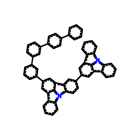 c1ccc(-c2ccc(-c3cccc(-c4cccc(-c5cc6c7ccccc7n7c8ccc(-c9cc%10c%11ccccc%11n%11c%12ccccc%12c(c9)c%10%11)cc8c(c5)c67)c4)c3)cc2)cc1